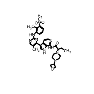 CCC(C(=O)Nc1nccc2c(-c3nc(Nc4cccc(S(C)(=O)=O)c4C)ncc3C)c[nH]c12)N1CCN(C2COC2)CC1